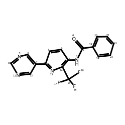 O=C(Nc1ccc(-c2cncnc2)nc1C(F)(F)F)c1ccccc1